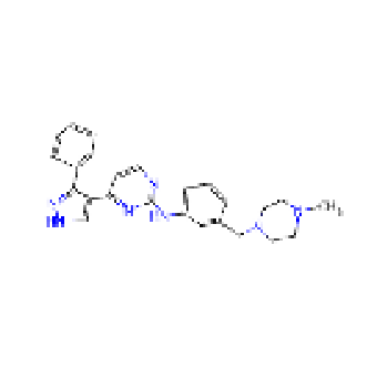 CN1CCN(Cc2cccc(Nc3nccc(-c4c[nH]nc4-c4ccccc4)n3)c2)CC1